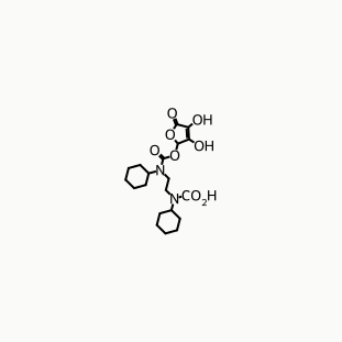 O=C1OC(OC(=O)N(CCN(C(=O)O)C2CCCCC2)C2CCCCC2)C(O)=C1O